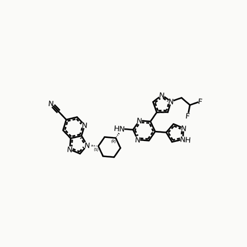 N#Cc1cnc2c(c1)ncn2[C@H]1CCC[C@@H](Nc2ncc(-c3cn[nH]c3)c(-c3cnn(CC(F)F)c3)n2)C1